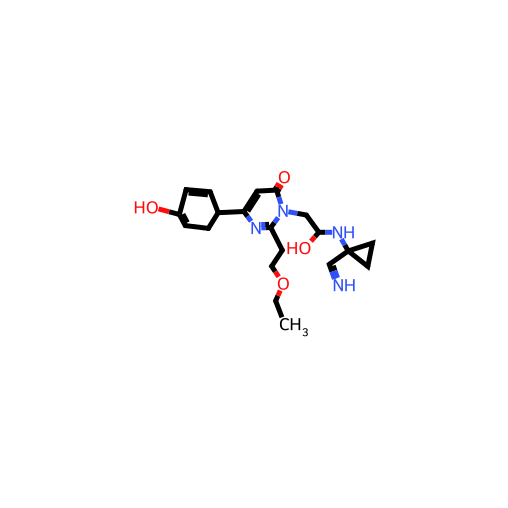 CCOCCc1nc(C2C=CC(O)=CC2)cc(=O)n1CC(O)NC1(C=N)CC1